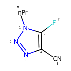 CCCn1nnc(C#N)c1F